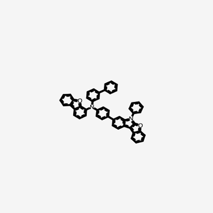 c1ccc(-c2cccc(N(c3ccc(-c4ccc5c6c7ccccc7oc6n(-c6ccccc6)c5c4)cc3)c3cccc4c3oc3ccccc34)c2)cc1